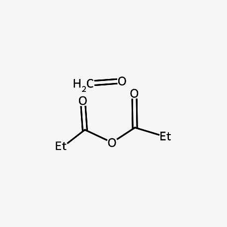 C=O.CCC(=O)OC(=O)CC